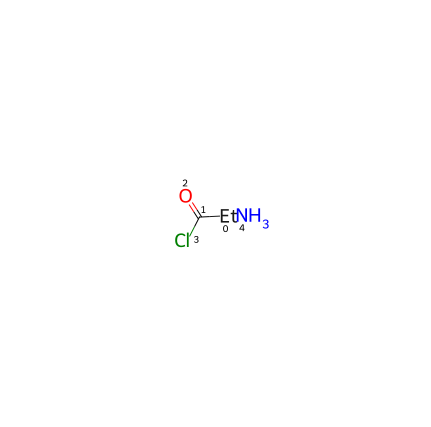 CCC(=O)Cl.N